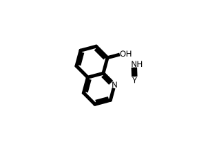 Oc1cccc2cccnc12.[NH]=[Y]